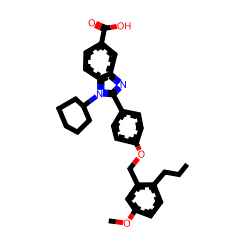 CCCc1ccc(OC)cc1COc1ccc(-c2nc3cc(C(=O)O)ccc3n2C2CCCCC2)cc1